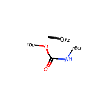 CCCCNC(=O)OC(C)(C)C.COC(C)=O